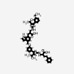 COc1cccc(-c2nc(NCC(Cc3ccc(COc4cccc(-c5nc(NCC(CCc6ccccc6)C(=O)O)sc5C(C)C)c4)c4cc[nH]c34)C(=O)O)sc2C(C)C)c1